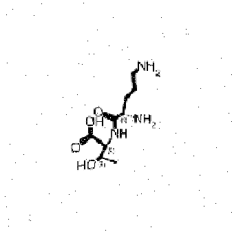 C[C@@H](O)[C@H](NC(=O)[C@@H](N)CCCN)C(=O)O